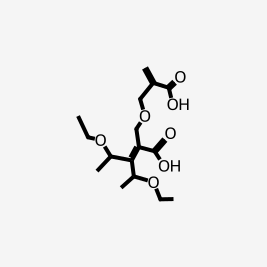 C=C(COCC(C(=O)O)=C(C(C)OCC)C(C)OCC)C(=O)O